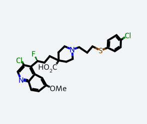 COc1ccc2ncc(Cl)c([C@@H](F)CCC3(C(=O)O)CCN(CCCSc4ccc(Cl)cc4)CC3)c2c1